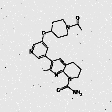 CC(=O)N1CCC(Oc2cncc(-c3cc4c(nc3C)N(C(N)=O)CCC4)c2)CC1